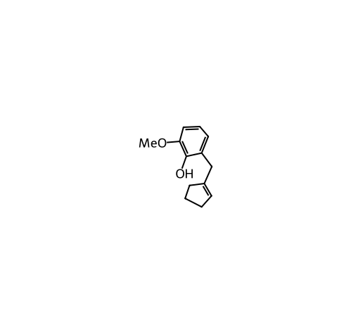 COc1cccc(CC2=CCCC2)c1O